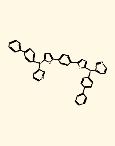 c1ccc(-c2ccc(N(c3cccnc3)c3ccc(-c4ccc(-c5ccc(N(c6ccc(-c7ccccc7)cc6)c6cccnc6)o5)cc4)o3)cc2)cc1